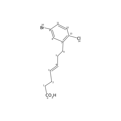 O=C(O)CCC=CCCc1cc(Br)ccc1Cl